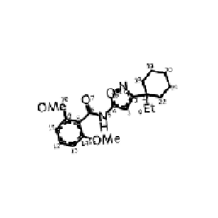 CCC1(c2cc(NC(=O)c3c(OC)cccc3OC)on2)CCCCC1